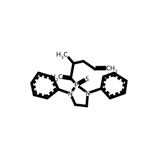 C=CCC(C)C(=C)P1(=S)N(c2ccccc2)CCN1c1ccccc1